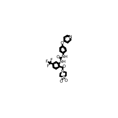 O=C(Nc1ccc(Oc2ccncc2)cc1)Nc1cc(C(F)(F)F)ccc1C(=O)N1CCS(=O)(=O)CC1